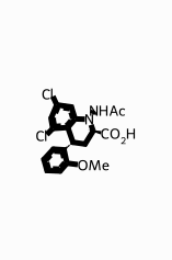 COc1ccccc1[C@H]1C[C@H](C(=O)O)N(NC(C)=O)c2cc(Cl)cc(Cl)c21